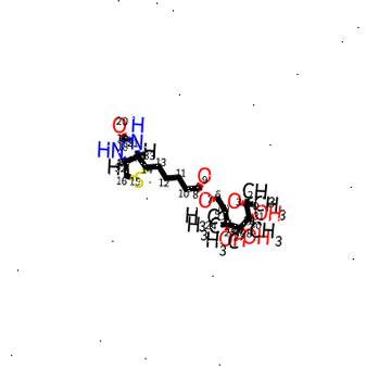 CC1(C)O[C@](C)(COC(=O)CCCCC2SC[C@@H]3NC(=O)N[C@H]23)C(C)(O)[C@@](C)(O)[C@]1(C)O